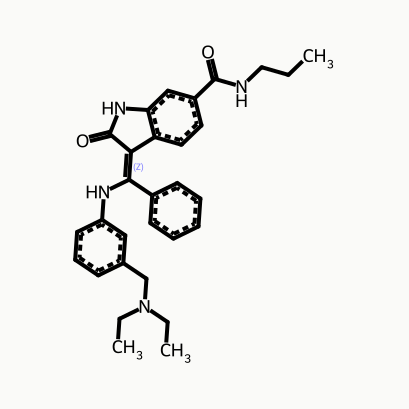 CCCNC(=O)c1ccc2c(c1)NC(=O)/C2=C(\Nc1cccc(CN(CC)CC)c1)c1ccccc1